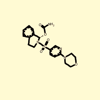 NC(=O)O[C@H]1c2ccccc2CCN1S(=O)(=O)c1ccc(N2CCOCC2)nc1